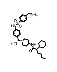 CCCCC(C(=O)NC1CCN(Cc2ccc(NS(=O)(=O)c3ccc(CN)cc3)cc2)CC1)C1CCCCC1.Cl